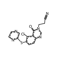 N#CCCn1cnc2ccc(Sc3cnccn3)c(Cl)c2c1=O